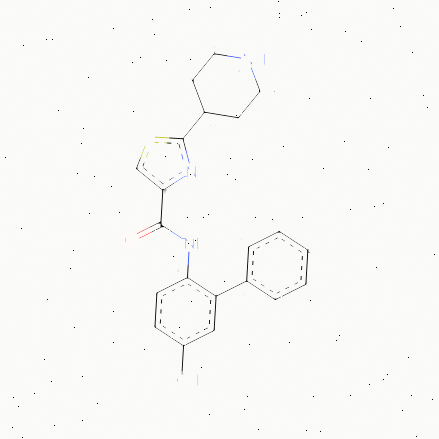 Cc1ccc(NC(=O)c2csc(C3CCNCC3)n2)c(-c2ccccc2)c1